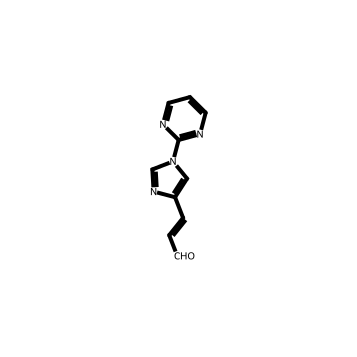 O=CC=Cc1cn(-c2ncccn2)cn1